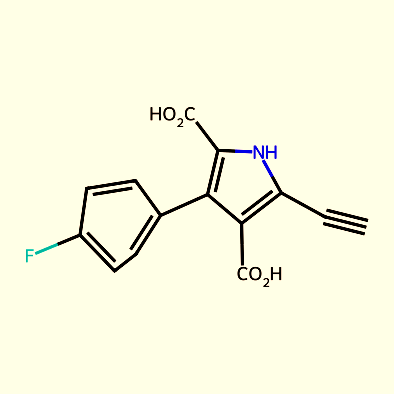 C#Cc1[nH]c(C(=O)O)c(-c2ccc(F)cc2)c1C(=O)O